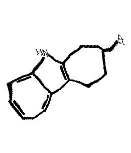 CCC1CCc2c([nH]c3ccccc23)C1